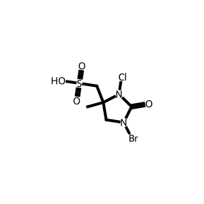 CC1(CS(=O)(=O)O)CN(Br)C(=O)N1Cl